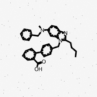 CCCCc1nc2ccc(N(C)Cc3ccccc3)cc2n1Cc1ccc(-c2ccccc2C(=O)O)cc1